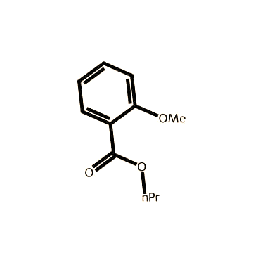 CCCOC(=O)c1ccccc1OC